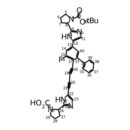 CC(C)(C)OC(=O)N1CCCC1c1ncc(-c2cc(F)c(C#CC#Cc3cnc(C4CCCN4C(=O)O)[nH]3)c(-c3ccccc3)c2)[nH]1